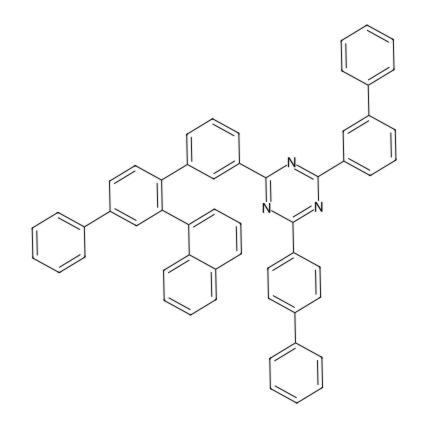 c1ccc(-c2ccc(-c3nc(-c4cccc(-c5ccccc5)c4)nc(-c4cccc(-c5ccc(-c6ccccc6)cc5-c5cccc6ccccc56)c4)n3)cc2)cc1